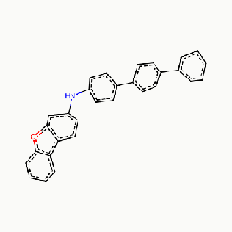 c1ccc(-c2ccc(-c3ccc(Nc4ccc5c(c4)oc4ccccc45)cc3)cc2)cc1